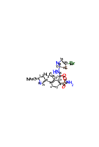 COc1ccc(-c2ccc(S(N)(=O)=O)c(C(=O)Nc3ncc(Br)s3)c2C)cn1